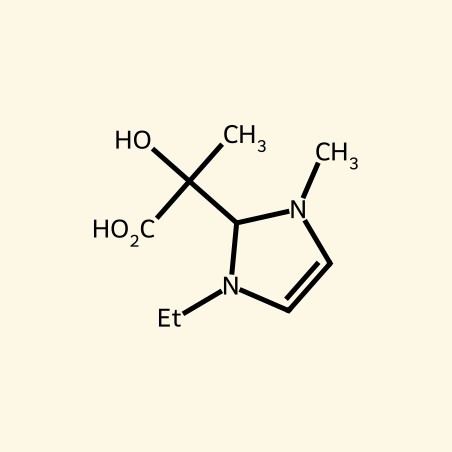 CCN1C=CN(C)C1C(C)(O)C(=O)O